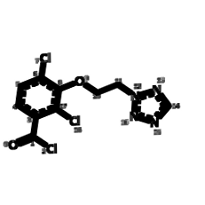 O=C(Cl)c1ccc(Cl)c(OCCn2ncnn2)c1Cl